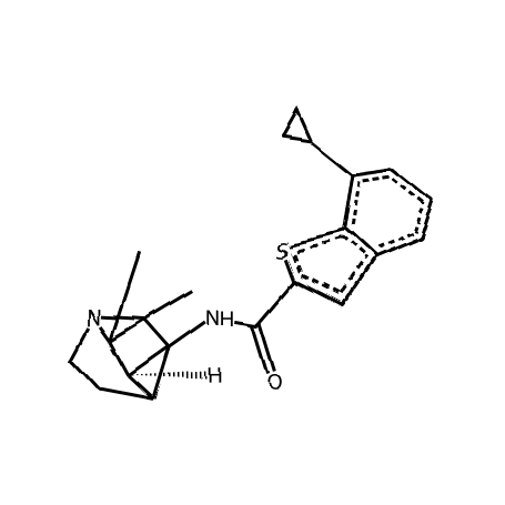 CC1(C)[C@@H](NC(=O)c2cc3cccc(C4CC4)c3s2)C2CCN1CC2